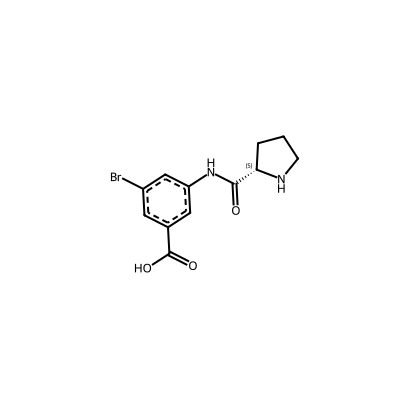 O=C(O)c1cc(Br)cc(NC(=O)[C@@H]2CCCN2)c1